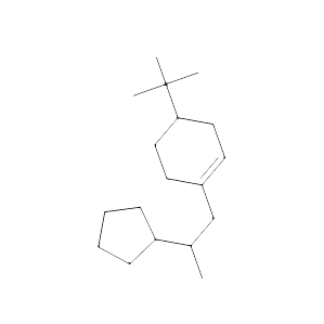 CC(CC1=CCC(C(C)(C)I)CC1)C1CCCC1